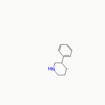 [CH]1CCNCC1c1ccccc1